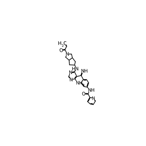 C=CC(=O)N1CC2CC(Nc3ncnc(N)c3C(=N)c3ccc(NC(=O)c4ccccn4)cc3)CC2C1